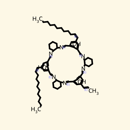 C/C=C/c1cc2c(O)c(c1)/C=N/C1CCCCC1/N=C/c1cc(/C=C\CCCCCCCCCC)cc(c1O)/C=N/C1CCCCC1/N=C/c1cc(/C=C\CCCCCCCCCC)cc(c1O)/C=N/C1CCCCC1/N=C/2